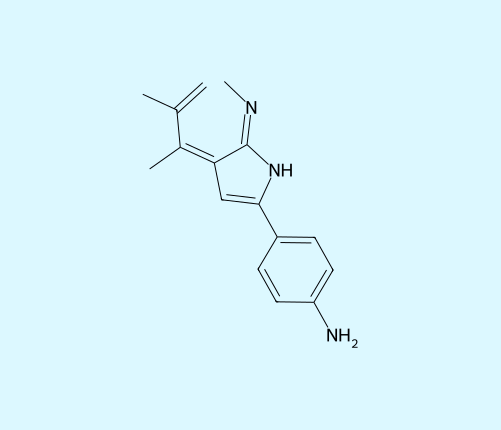 C=C(C)/C(C)=C1/C=C(c2ccc(N)cc2)N/C1=N/C